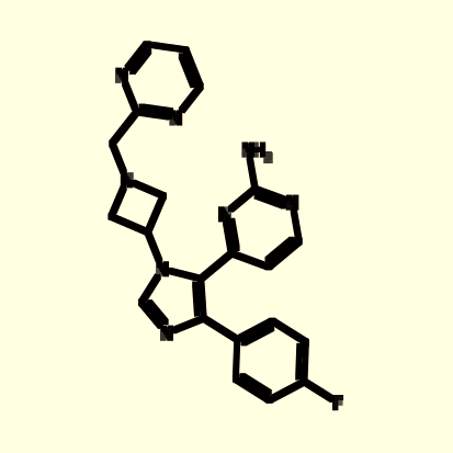 Nc1nccc(-c2c(-c3ccc(F)cc3)ncn2C2CN(Cc3ncccn3)C2)n1